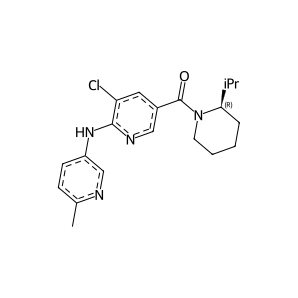 Cc1ccc(Nc2ncc(C(=O)N3CCCC[C@@H]3C(C)C)cc2Cl)cn1